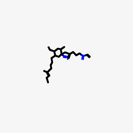 C=CNCCCC(=C)CC1(N)CC(CCCC/C(C)=C/CC)C(CC)CC1C